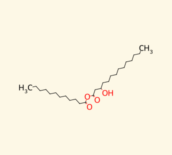 CCCCCCCCCCCC(=O)OC(=O)CC(O)CCCCCCCCCCC